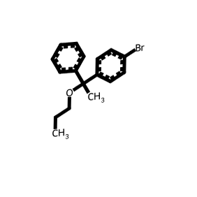 CCCOC(C)(c1ccccc1)c1ccc(Br)cc1